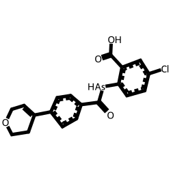 O=C([AsH]c1ccc(Cl)cc1C(=O)O)c1ccc(C2=CCOCC2)cc1